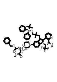 COC(=O)[C@H](C[C@H]1CN(c2ccc3c(c2)c(CC(C)(C)CO[Si](c2ccccc2)(c2ccccc2)C(C)(C)C)c(-c2cccnc2[C@H](C)OC)n3CC(F)(F)F)CCO1)NC(=O)OCc1ccccc1